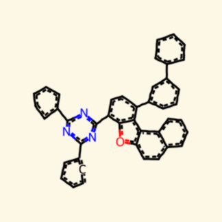 c1ccc(-c2cccc(-c3ccc(-c4nc(-c5ccccc5)nc(-c5ccccc5)n4)c4oc5ccc6ccccc6c5c34)c2)cc1